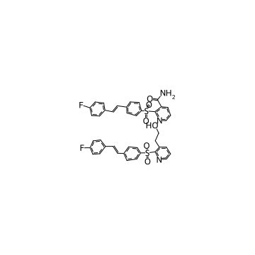 NC(=O)c1cccnc1S(=O)(=O)c1ccc(/C=C/c2ccc(F)cc2)cc1.O=S(=O)(c1ccc(/C=C/c2ccc(F)cc2)cc1)c1ncccc1CCO